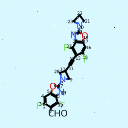 O=Cc1c(F)cc2oc(N3CC(C#Cc4c(F)cc5oc(N6CCC6)nc5c4F)C3)nc2c1F